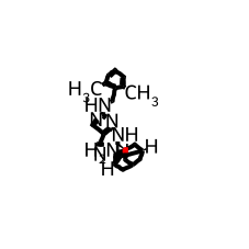 Cc1cccc(C)c1CNc1ncc(C#N)c(NC[C@]23CC4C[C@H](C2)[C@@H](N)[C@@H](C4)C3)n1